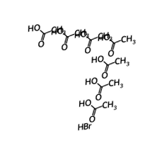 Br.CC(=O)O.CC(=O)O.CC(=O)O.CC(=O)O.CC(=O)O.CC(=O)O.CC(=O)O